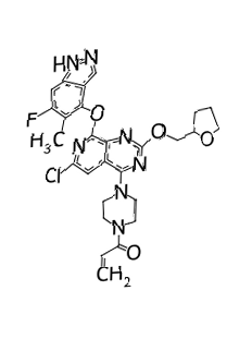 C=CC(=O)N1CCN(c2nc(OCC3CCCO3)nc3c(Oc4c(C)c(F)cc5[nH]ncc45)nc(Cl)cc23)CC1